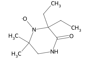 CCC1(CC)C(=O)NCC(C)(C)N1[O]